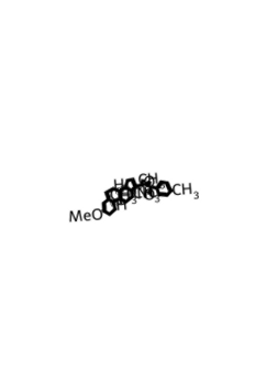 [C-]#[N+]C(C)(C1=CC[C@H]2[C@@H]3CC=C4C=C(OC)CC[C@]4(C)[C@H]3CC[C@]12C)S(=O)(=O)c1ccc(C)cc1